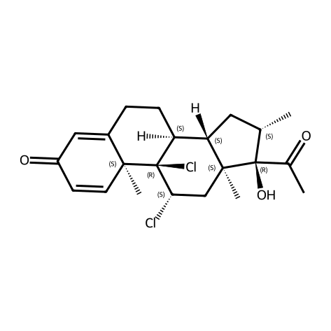 CC(=O)[C@@]1(O)[C@@H](C)C[C@H]2[C@@H]3CCC4=CC(=O)C=C[C@]4(C)[C@@]3(Cl)[C@@H](Cl)C[C@@]21C